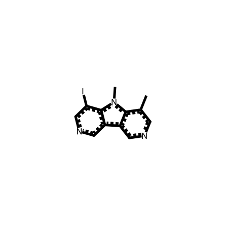 Cc1cncc2c3cncc(I)c3n(C)c12